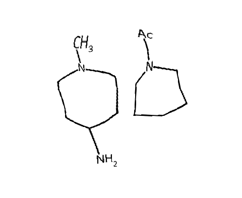 CC(=O)N1CCCCC1.CN1CCC(N)CC1